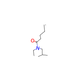 [CH2]CCCC(=O)N(CC)CC(C)C